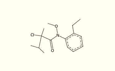 CCc1ccccc1N(OC)C(=O)C(C)(Cl)C(C)C